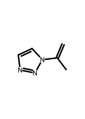 C=C(C)n1ccnn1